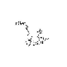 CCCCCCCCCCCCCCC1=NCC[N+]1(C)CC(=O)O.C[N+](C)(C)CC(=O)O